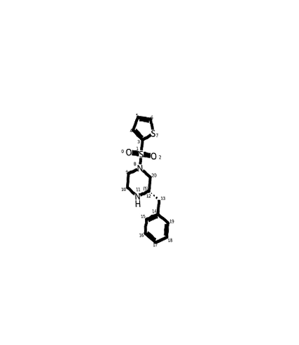 O=S(=O)(c1cccs1)N1CCN[C@@H](Cc2ccccc2)C1